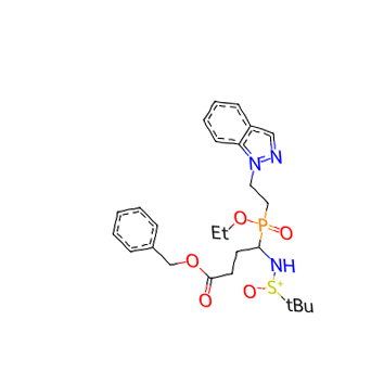 CCOP(=O)(CCn1ncc2ccccc21)C(CCC(=O)OCc1ccccc1)N[S+]([O-])C(C)(C)C